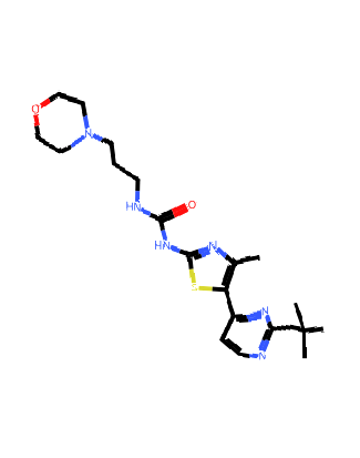 Cc1nc(NC(=O)NCCCN2CCOCC2)sc1-c1ccnc(C(C)(C)C)n1